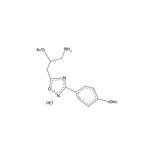 CCCCCCCCCCc1ccc(-c2noc(CC(CN)OC(C)=O)n2)cc1.Cl